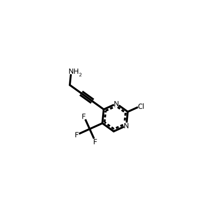 NCC#Cc1nc(Cl)ncc1C(F)(F)F